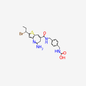 CCC(Br)c1cc2c(s1)C=C(C(=O)NCc1ccc(CNC(=O)O)cc1)CC(N)=N2